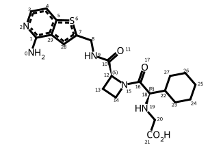 Nc1nccc2sc(CNC(=O)[C@@H]3CCN3C(=O)[C@H](NCC(=O)O)C3CCCCC3)cc12